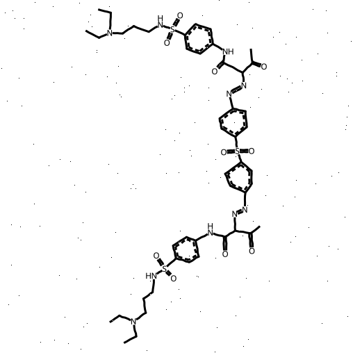 CCN(CC)CCCNS(=O)(=O)c1ccc(NC(=O)C(N=Nc2ccc(S(=O)(=O)c3ccc(N=NC(C(C)=O)C(=O)Nc4ccc(S(=O)(=O)NCCCN(CC)CC)cc4)cc3)cc2)C(C)=O)cc1